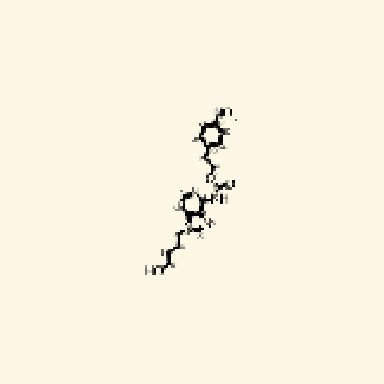 O=C(Nc1ncnc2c1ncn2CCCCO)OCCc1ccc([N+](=O)[O-])cc1